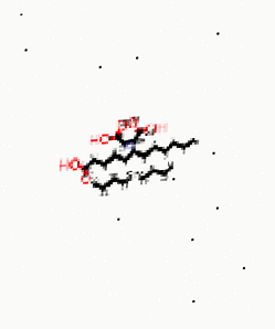 CCCCCCCCCCCC(=O)O.CCC[CH2][Sn][CH2]CCC.O=C(O)/C=C\C(=O)O